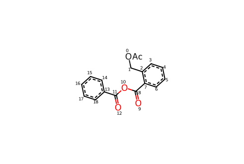 CC(=O)OCc1ccccc1C(=O)OC(=O)c1ccccc1